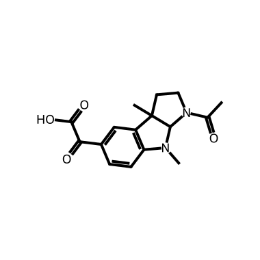 CC(=O)N1CCC2(C)c3cc(C(=O)C(=O)O)ccc3N(C)C12